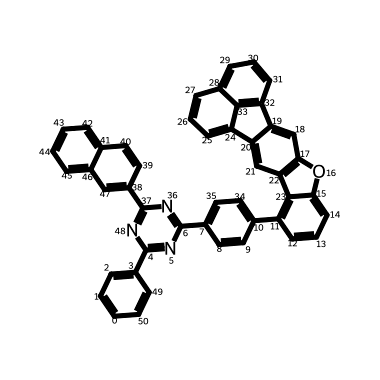 c1ccc(-c2nc(-c3ccc(-c4cccc5oc6cc7c(cc6c45)-c4cccc5cccc-7c45)cc3)nc(-c3ccc4ccccc4c3)n2)cc1